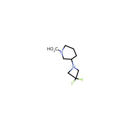 O=C(O)N1CCCC(N2CC(F)(F)C2)C1